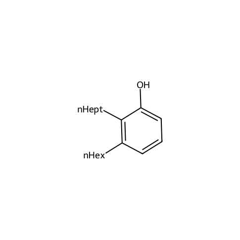 CCCCCCCc1c(O)cccc1CCCCCC